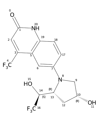 O=c1cc(C(F)(F)F)c2cc(N3C[C@H](O)C[C@@H]3[C@H](O)C(F)(F)F)ccc2[nH]1